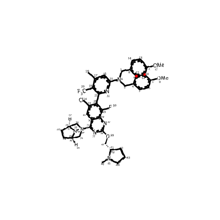 COc1ccc(CN(Cc2ccc(OC)cc2)c2cc(C)c(C(F)(F)F)c(-c3c(Cl)cc4c(N5C[C@@H]6CC[C@@H](C5)N6C)nc(OC[C@@H]5CCCN5C)nc4c3F)n2)cc1